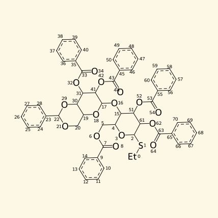 CCSC1OC(COC(=O)c2ccccc2)C(OC2OC3COC(c4ccccc4)OC3C(OC(=O)c3ccccc3)C2OC(=O)c2ccccc2)C(OC(=O)c2ccccc2)C1OC(=O)c1ccccc1